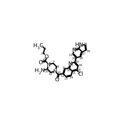 CCCOC(=O)N1CCN(C(=O)c2ccc3c(Cl)cc(-c4cnc5[nH]ccc5c4)nc3c2)C[C@H]1N